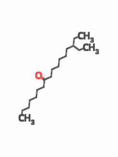 CCCCCCCC(=O)CCCCCCC(CC)CC